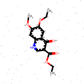 CCOC(=O)c1c[nH]c2cc(OC)c(OCC)cc2c1=O